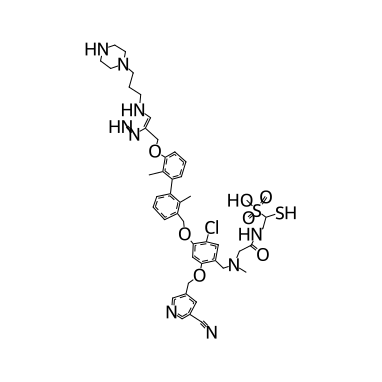 Cc1c(COc2cc(OCc3cncc(C#N)c3)c(CN(C)CC(=O)NCC(S)S(=O)(=O)O)cc2Cl)cccc1-c1cccc(OC/C(=C/NCCCN2CCNCC2)N=N)c1C